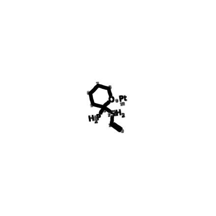 C=C[SiH2]C1(P)CCCCO1.[Pt]